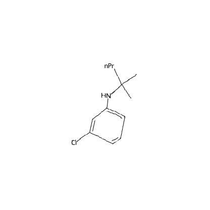 CCCC(C)(C)Nc1cccc(Cl)c1